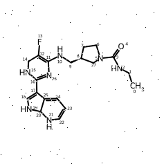 CCNC(=O)N1CC[C@H](CNC2=C(F)CNC(C3=CNC4NC=CC=C34)=N2)C1